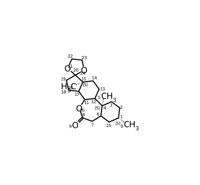 C[C@H]1CC[C@@]2(C)C(CC(=O)OC3C2CC[C@@]2(C)C3CCC23OCCO3)C1